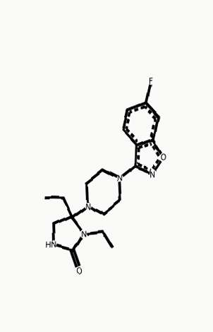 CCN1C(=O)NCC1(CC)N1CCN(c2noc3cc(F)ccc23)CC1